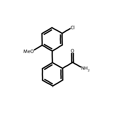 COc1ccc(Cl)cc1-c1cc[c]cc1C(N)=O